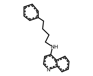 c1ccc(CCCCNc2ccnc3ccccc23)cc1